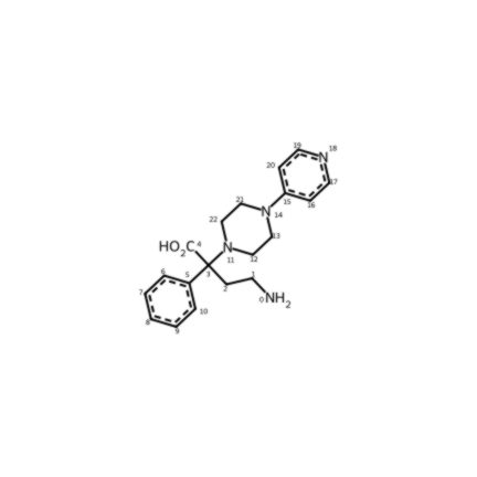 NCCC(C(=O)O)(c1ccccc1)N1CCN(c2ccncc2)CC1